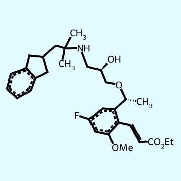 CCOC(=O)/C=C/c1c(OC)cc(F)cc1[C@@H](C)OC[C@H](O)CNC(C)(C)CC1Cc2ccccc2C1